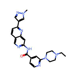 CCN1CCN(c2cc(C(=O)Nc3cc4nc(-c5cnn(C)c5)ccc4cn3)ccn2)CC1